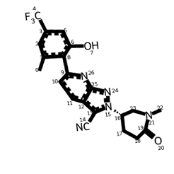 Cc1cc(C(F)(F)F)cc(O)c1-c1ccc2c(C#N)n([C@H]3CCC(=O)N(C)C3)nc2n1